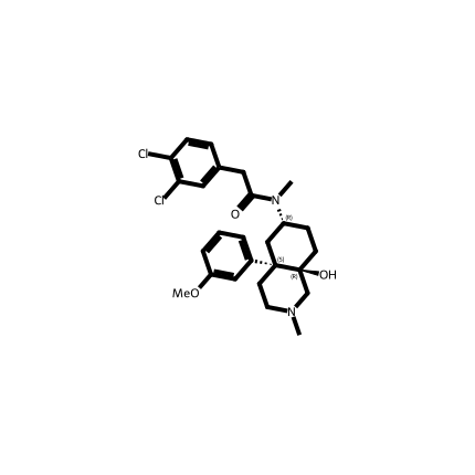 COc1cccc([C@@]23CCN(C)C[C@@]2(O)CC[C@@H](N(C)C(=O)Cc2ccc(Cl)c(Cl)c2)C3)c1